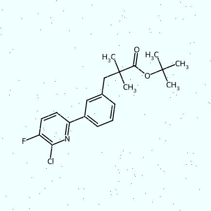 CC(C)(C)OC(=O)C(C)(C)Cc1cccc(-c2ccc(F)c(Cl)n2)c1